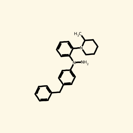 CC1CCCCN1c1ccccc1N(N)c1ccc(Cc2ccccc2)cc1